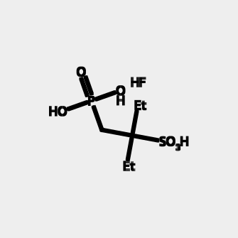 CCC(CC)(CP(=O)(O)O)S(=O)(=O)O.F